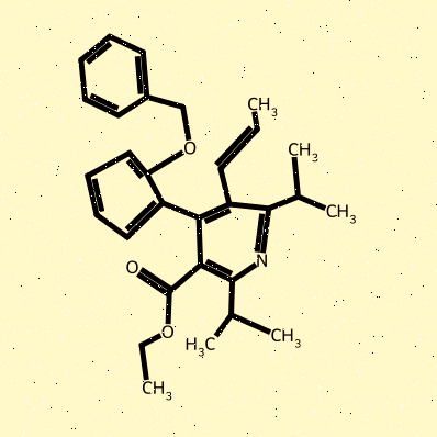 CC=Cc1c(C(C)C)nc(C(C)C)c(C(=O)OCC)c1-c1ccccc1OCc1ccccc1